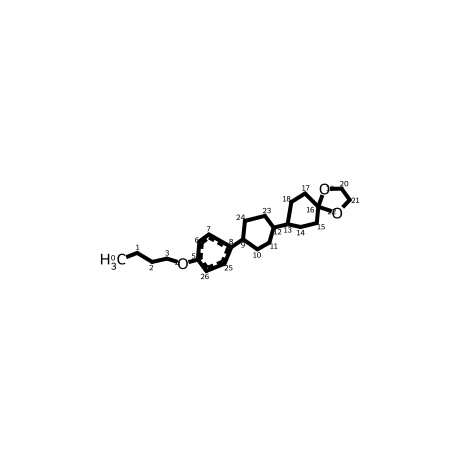 CCCCOc1ccc(C2CCC(C3CCC4(CC3)OCCO4)CC2)cc1